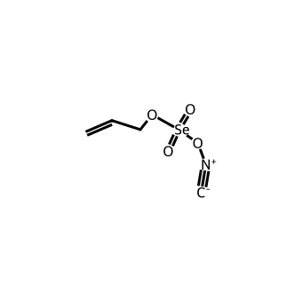 [C-]#[N+]O[Se](=O)(=O)OCC=C